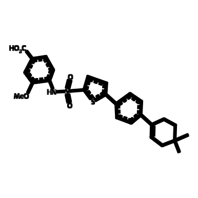 COc1cc(C(=O)O)ccc1NS(=O)(=O)c1ccc(-c2ccc(C3=CCC(C)(C)CC3)cc2)s1